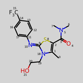 Cc1c(C(=O)N(C)C)s/c(=N\c2ccc(C(F)(F)F)cc2)n1CCO